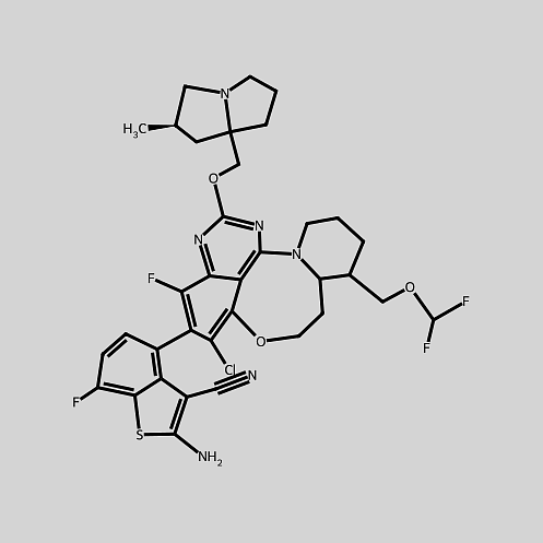 C[C@H]1CN2CCCC2(COc2nc3c4c(c(Cl)c(-c5ccc(F)c6sc(N)c(C#N)c56)c(F)c4n2)OCCC2C(COC(F)F)CCCN32)C1